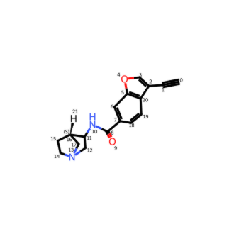 C#Cc1coc2cc(C(=O)NC3CN4CC[C@H]3C4)ccc12